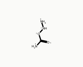 NNOC(N)=O